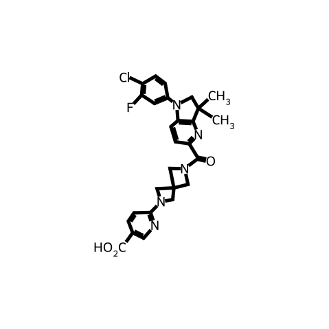 CC1(C)CN(c2ccc(Cl)c(F)c2)c2ccc(C(=O)N3CC4(C3)CN(c3ccc(C(=O)O)cn3)C4)nc21